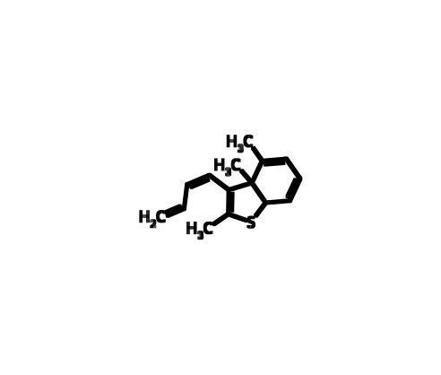 C=C/C=C\C1=C(C)SC2C=CC=C(C)C12C